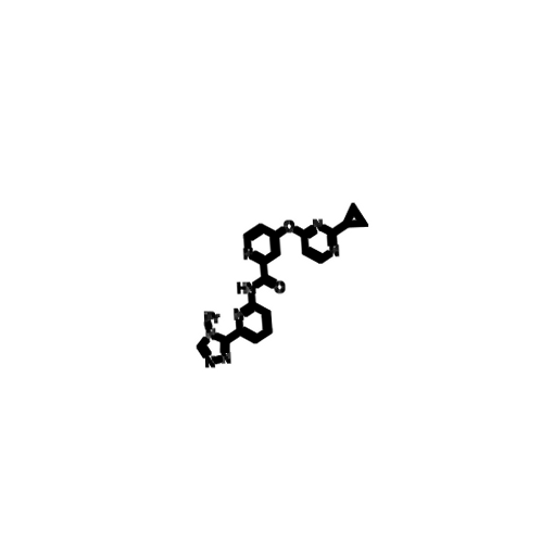 CC(C)n1cnnc1-c1cccc(NC(=O)c2cc(Oc3ccnc(C4CC4)n3)ccn2)n1